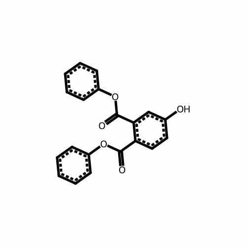 O=C(Oc1ccccc1)c1ccc(O)cc1C(=O)Oc1ccccc1